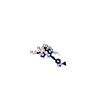 C=CC(=O)N1CC[C@H](n2nc(C#Cc3ccc4c(c3)ncn4C3CC3)c3c(N)ncc(C(=O)C(C)(C)C)c32)C1